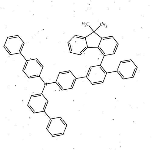 CC1(C)c2ccccc2-c2c(-c3cc(-c4ccc(N(c5ccc(-c6ccccc6)cc5)c5cccc(-c6ccccc6)c5)cc4)ccc3-c3ccccc3)cccc21